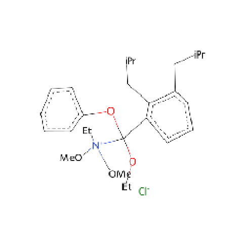 CCOC(Oc1ccccc1)(c1cccc(CC(C)C)c1CC(C)C)[N+](CC)(OC)OC.[Cl-]